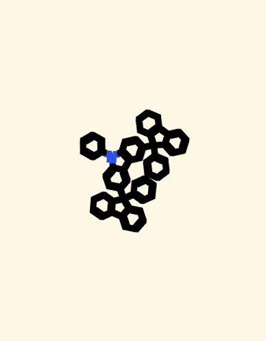 C1=CC(C2(c3ccc4c(c3)c3cc(C5(c6ccccc6)C6=C(C=CCC6)c6ccccc65)ccc3n4-c3ccccc3)C3=C(CCCC3)c3ccccc32)=CCC1